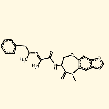 CN1C(=O)[C@@H](NC(=O)/C(N)=N/N(N)Cc2ccccc2)COc2cc3occc3cc21